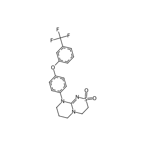 O=S1(=O)CCN2CCCN(c3ccc(Oc4cccc(C(F)(F)F)c4)cc3)C2=N1